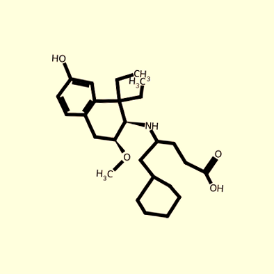 CCC1(CC)c2cc(O)ccc2C[C@H](OC)[C@@H]1NC(CCC(=O)O)CC1CCCCC1